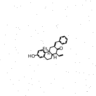 C=CC1C(=O)C(=Cc2ccccc2)C[C@@]2(CC)c3ccc(O)cc3CC[C@H]12